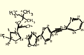 CC(C)(C)OC(=O)N1CC(F)(F)C[C@H]1c1nc(-c2ccc(C#Cc3ccccn3)cn2)no1